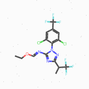 CCO/C=N/c1nc(C(C)C(F)(F)F)nn1-c1c(Cl)cc(C(F)(F)F)cc1Cl